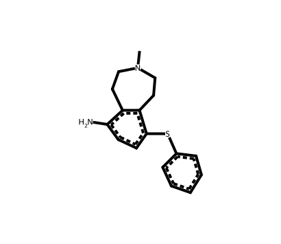 CN1CCc2c(N)ccc(Sc3ccccc3)c2CC1